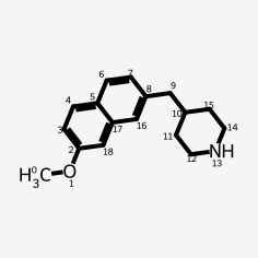 COc1ccc2ccc(CC3CCNCC3)cc2c1